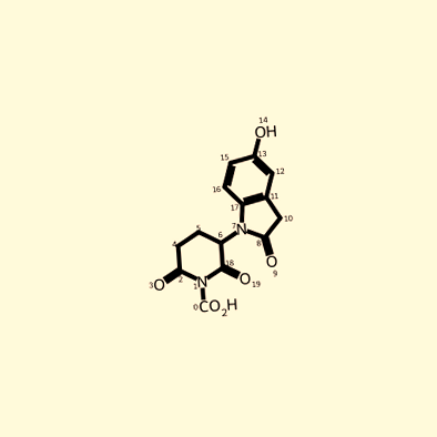 O=C(O)N1C(=O)CCC(N2C(=O)Cc3cc(O)ccc32)C1=O